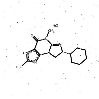 Cc1nc2c([nH]1)C(=O)N(C)C1=N[C@H](C3CCCCC3)CN12.Cl